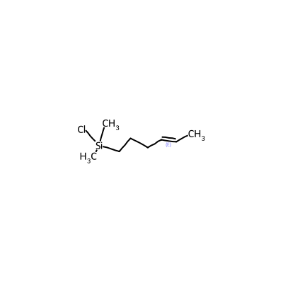 C/C=C/CCC[Si](C)(C)Cl